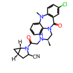 C[C@H](CN1C(=O)c2cc(Cl)ccc2N(C)c2ccccc21)NCC(=O)N1C(C#N)C[C@@H]2C[C@@H]21